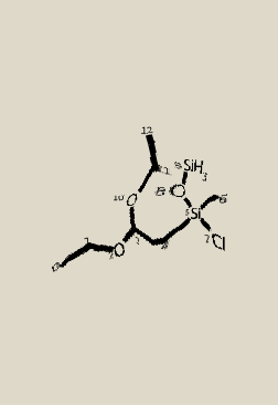 CCOC(C[Si](C)(Cl)O[SiH3])OCC